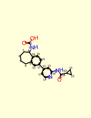 O=C(O)NC1CCCCc2cc(-c3ccnc(NC(=O)C4CC4)c3)ccc21